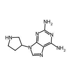 Nc1nc(N)c2ncn(C3CCNC3)c2n1